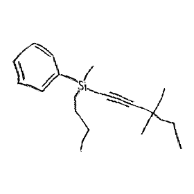 CCC[Si](C)(C#CC(C)(C)CC)c1ccccc1